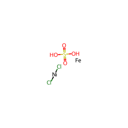 O=S(=O)(O)O.[Cl][Ni][Cl].[Fe]